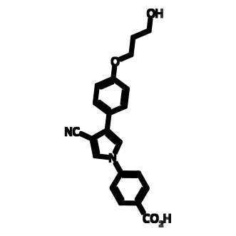 N#Cc1cn(-c2ccc(C(=O)O)cc2)cc1-c1ccc(OCCCO)cc1